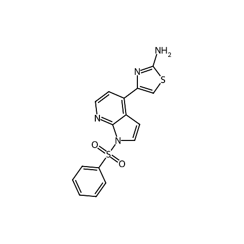 Nc1nc(-c2ccnc3c2ccn3S(=O)(=O)c2ccccc2)cs1